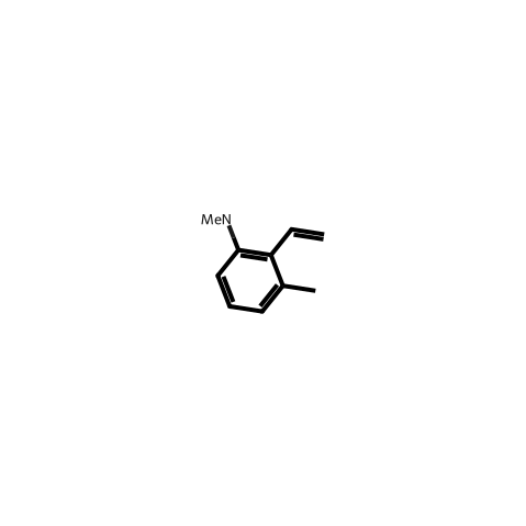 C=Cc1c(C)cccc1NC